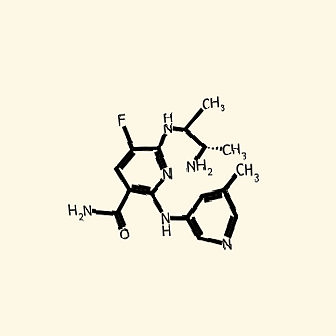 Cc1cncc(Nc2nc(NC(C)[C@H](C)N)c(F)cc2C(N)=O)c1